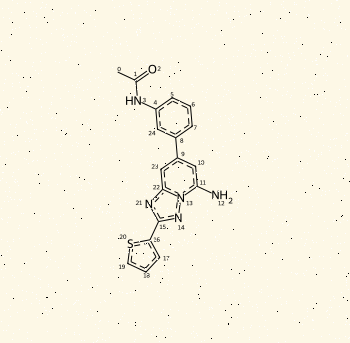 CC(=O)Nc1cccc(-c2cc(N)n3nc(-c4cccs4)nc3c2)c1